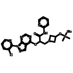 CC(C)(C)[Si](C)(C)OC1CN(CC(Oc2ncnc3c2cnn3-c2ncccc2Cl)C(=O)Nc2ccccn2)C1